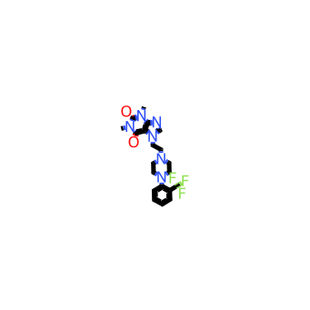 Cn1c(=O)c2c(ncn2CCN2CCN(c3ccccc3C(F)(F)F)CC2)n(C)c1=O